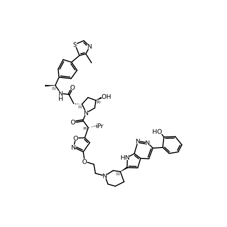 Cc1ncsc1-c1ccc([C@H](C)NC(=O)C[C@@H]2C[C@@H](O)CN2C(=O)[C@@H](c2cc(OCCN3CCC[C@H](c4cc5cc(-c6ccccc6O)nnc5[nH]4)C3)no2)C(C)C)cc1